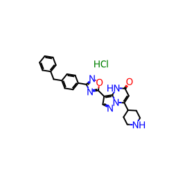 Cl.O=c1cc(C2CCNCC2)n2ncc(-c3nc(-c4ccc(Cc5ccccc5)cc4)no3)c2[nH]1